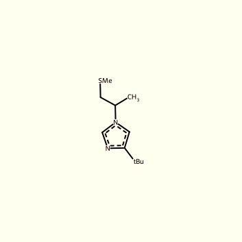 CSCC(C)n1cnc(C(C)(C)C)c1